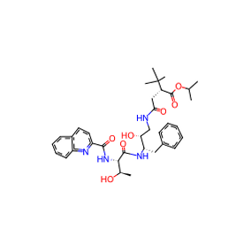 CC(C)OC(=O)[C@H](CC(=O)NC[C@@H](O)[C@H](Cc1ccccc1)NC(=O)[C@@H](NC(=O)c1ccc2ccccc2n1)[C@@H](C)O)C(C)(C)C